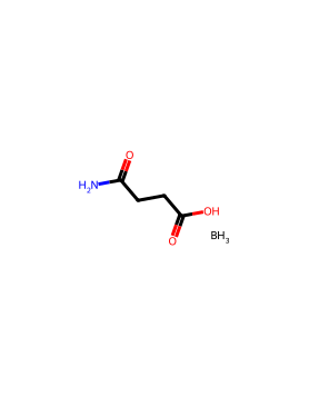 B.NC(=O)CCC(=O)O